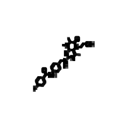 Cc1nc(NCc2ccc(NC(=O)c3ccc(F)cc3)cc2)nc2c1N(CCO)C(=O)C(C)N2C